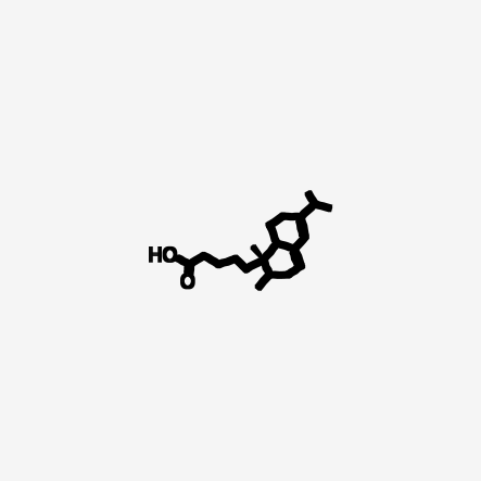 CC(C)C1=CC2=CCC(C)[C@](C)(CCCCC(=O)O)C2CC1